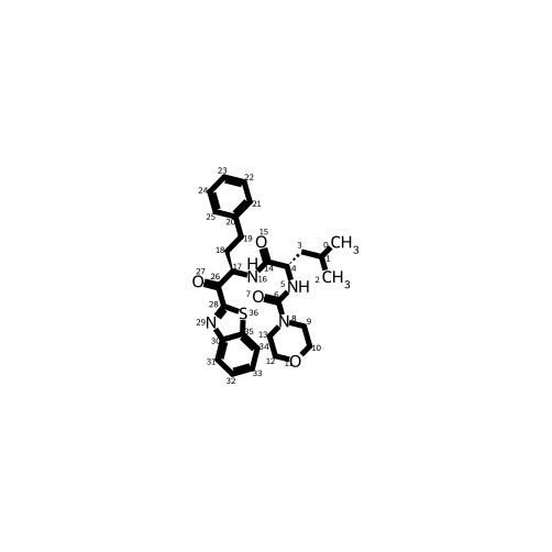 CC(C)C[C@H](NC(=O)N1CCOCC1)C(=O)N[C@H](CCc1ccccc1)C(=O)c1nc2ccccc2s1